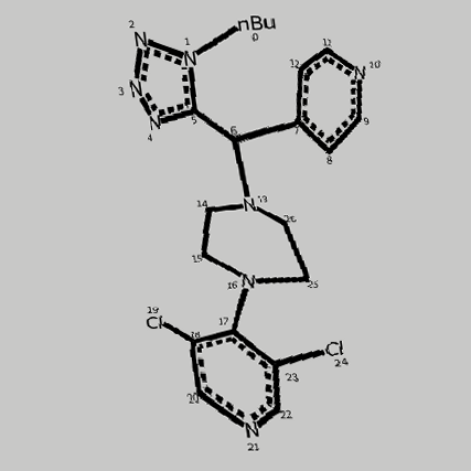 CCCCn1nnnc1C(c1ccncc1)N1CCN(c2c(Cl)cncc2Cl)CC1